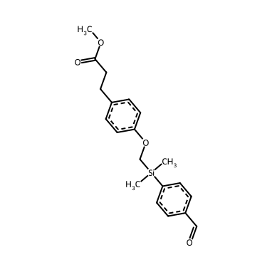 COC(=O)CCc1ccc(OC[Si](C)(C)c2ccc(C=O)cc2)cc1